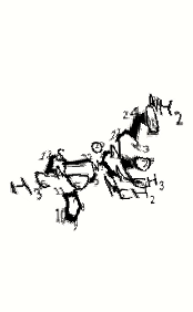 C=Nc1c(N(COC2CCCC2)Cc2nc(C)cs2)c(=O)n(CCCON)c(=O)n1C